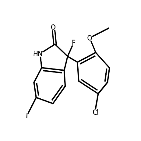 COc1ccc(Cl)cc1C1(F)C(=O)Nc2cc(I)ccc21